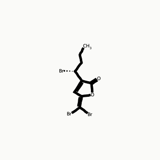 CCC[C@@H](Br)C1=CC(=C(Br)Br)OC1=O